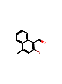 Cc1cc(Br)c(C=O)c2ccccc12